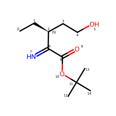 CC[C@@H](CCO)C(=N)C(=O)OC(C)(C)C